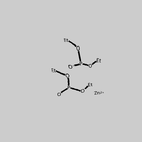 CCOP([O-])OCC.CCOP([O-])OCC.[Zn+2]